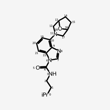 CC(C)CCNC(=O)n1cnc2c(N3CC4CCC(C3)O4)cccc21